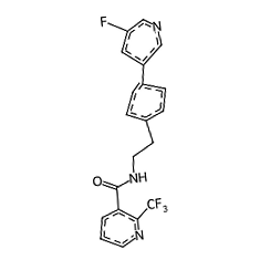 O=C(NCCc1ccc(-c2cncc(F)c2)cc1)c1cccnc1C(F)(F)F